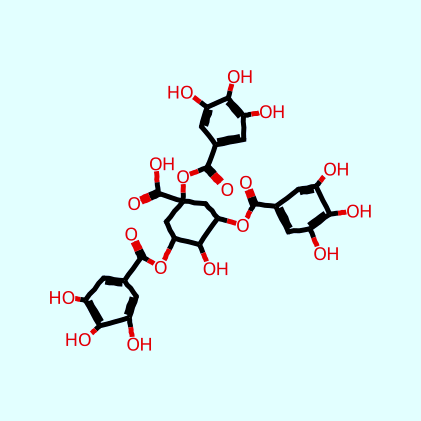 O=C(OC1CC(OC(=O)c2cc(O)c(O)c(O)c2)(C(=O)O)CC(OC(=O)c2cc(O)c(O)c(O)c2)C1O)c1cc(O)c(O)c(O)c1